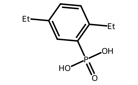 CCc1ccc(CC)c(P(=O)(O)O)c1